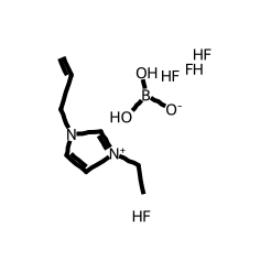 C=CCn1cc[n+](CC)c1.F.F.F.F.[O-]B(O)O